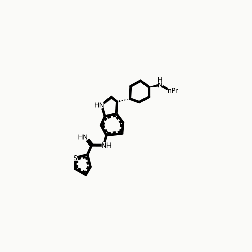 CCCN[C@H]1CC[C@H](C2CNc3cc(NC(=N)c4cccs4)ccc32)CC1